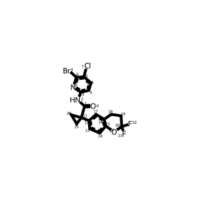 O=C(Nc1ccc(Cl)c(Br)n1)C1(c2ccc3c(c2)CCC(F)(F)O3)CC1